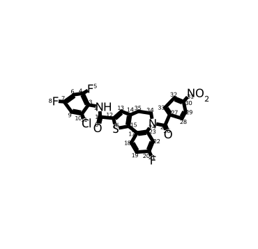 O=C(Nc1c(F)cc(F)cc1Cl)c1cc2c(s1)-c1ccc(F)cc1N(C(=O)c1ccc([N+](=O)[O-])cc1)CC2